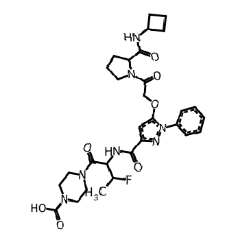 CC(F)C(NC(=O)c1cc(OCC(=O)N2CCCC2C(=O)NC2CCC2)n(-c2ccccc2)n1)C(=O)N1CCN(C(=O)O)CC1